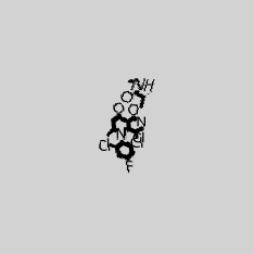 CNC(=O)[C@H](C)COc1ncc(Cl)c2c1c(=O)cc(C)n2-c1c(Cl)cc(F)cc1Cl